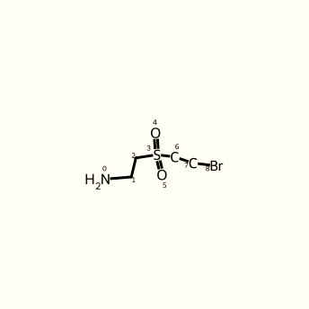 NCCS(=O)(=O)CCBr